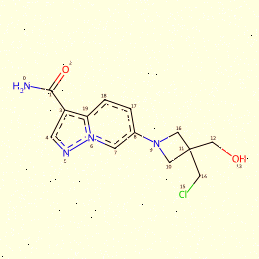 NC(=O)c1cnn2cc(N3CC(CO)(CCl)C3)ccc12